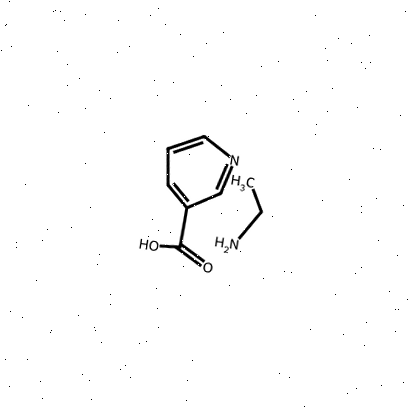 CCN.O=C(O)c1cccnc1